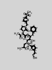 CC(C)CN(C[C@H](O)[C@H](Cc1ccccc1)NC(=O)[C@H](C(C)C)N1CCN(Cc2csc(S(C)(=O)=O)n2)C1=O)S(=O)(=O)c1ccc(C=NO)o1